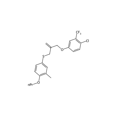 C=C(COc1ccc(Cl)c(C(F)(F)F)c1)CSc1ccc(OCCC)c(C)c1